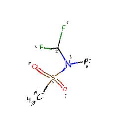 CC(C)N(C(F)F)S(C)(=O)=O